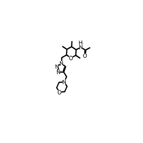 CC(=O)NC1C(C)OC(Cn2cc(CN3CCOCC3)nn2)C(C)C1C